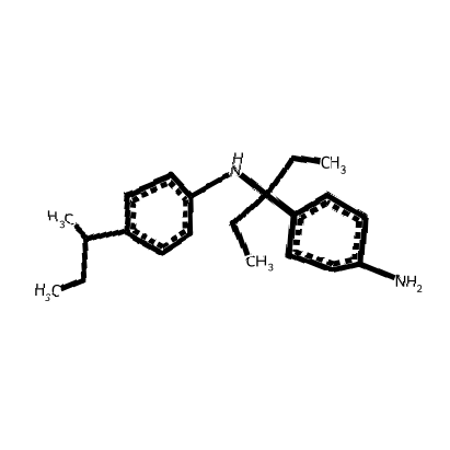 CCC(C)c1ccc(NC(CC)(CC)c2ccc(N)cc2)cc1